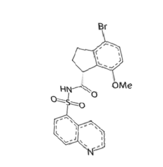 COc1ccc(Br)c2c1[C@H](C(=O)NS(=O)(=O)c1cccc3ncccc13)CC2